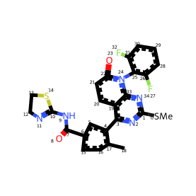 CSc1nc(-c2cc(C(=O)NC3=NCCS3)ccc2C)c2ccc(=O)n(-c3c(F)cccc3F)c2n1